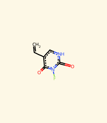 C=Cc1c[nH]c(=O)n(F)c1=O